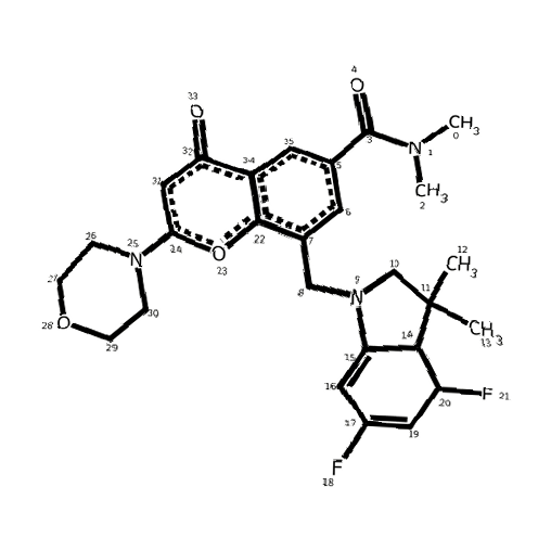 CN(C)C(=O)c1cc(CN2CC(C)(C)C3C2=CC(F)=CC3F)c2oc(N3CCOCC3)cc(=O)c2c1